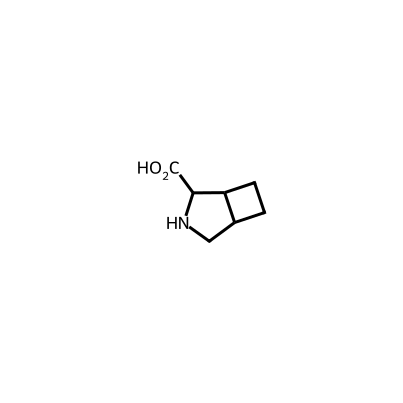 O=C(O)C1NCC2CCC21